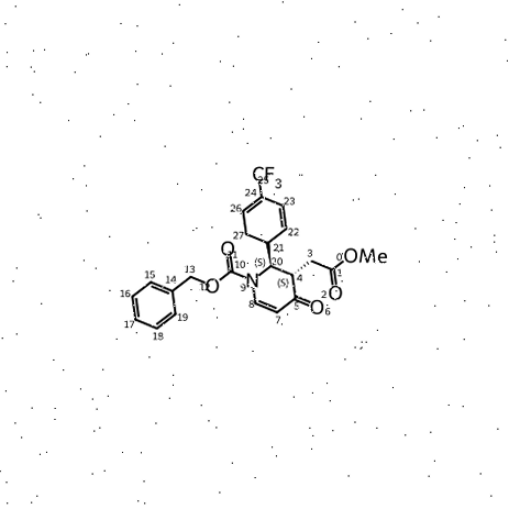 COC(=O)C[C@@H]1C(=O)C=CN(C(=O)OCc2ccccc2)[C@H]1C1C=CC(C(F)(F)F)=CC1